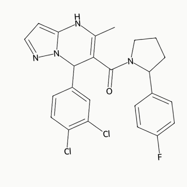 CC1=C(C(=O)N2CCCC2c2ccc(F)cc2)C(c2ccc(Cl)c(Cl)c2)n2nccc2N1